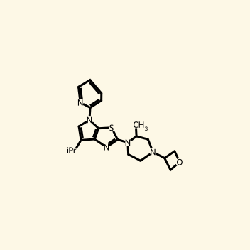 CC(C)c1cn(-c2ccccn2)c2sc(N3CCN(C4COC4)CC3C)nc12